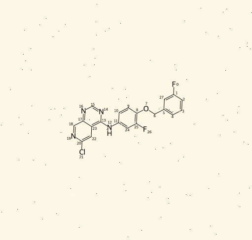 Fc1cccc(COc2ccc(Nc3ncnc4cnc(Cl)cc34)cc2F)c1